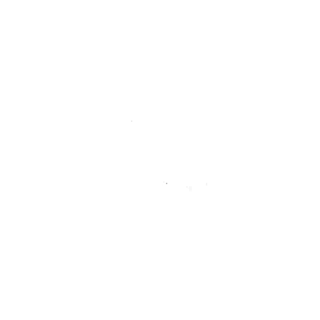 CNN(CC=O)C(=O)OC(C)(C)C